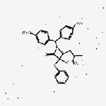 CCC1(Sc2ccccc2)C(=O)N(C(c2ccc(OC)cc2)c2ccc(OC)cc2)C1CC(C)[N+](=O)[O-]